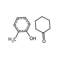 Cc1ccccc1O.O=C1CCCCC1